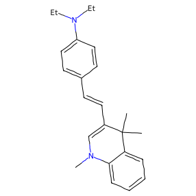 CCN(CC)c1ccc(/C=C/C2=CN(C)c3ccccc3C2(C)C)cc1